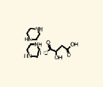 C1CNCCN1.C1CNCCN1.O=C(O)CC(O)C(=O)O